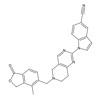 Cc1c(CN2CCc3nc(-n4ccc5cc(C#N)ccc54)ncc3C2)ccc2c1COC2=O